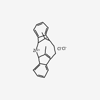 CC1=C2CCC3=C(C)[CH]([Zr+2][CH]1c1ccccc12)c1ccccc13.[Cl-].[Cl-]